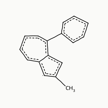 Cc1[c]c2ccccc(-c3ccccc3)c-2c1